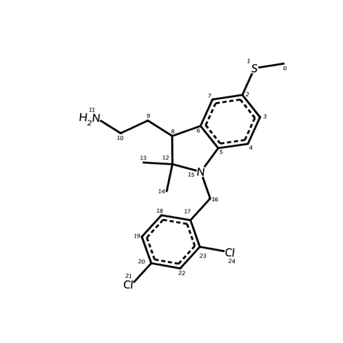 CSc1ccc2c(c1)C(CCN)C(C)(C)N2Cc1ccc(Cl)cc1Cl